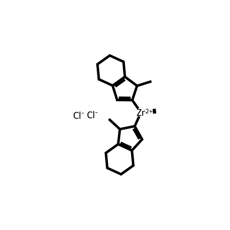 [CH2]=[Zr+2]([C]1=CC2=C(CCCC2)C1C)[C]1=CC2=C(CCCC2)C1C.[Cl-].[Cl-]